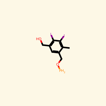 Cc1c(COP)cc(CO)c(I)c1I